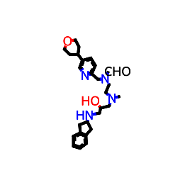 CN(CCN(C=O)Cc1ccc(C2CCOCC2)cn1)CC(O)CNC1Cc2ccccc2C1